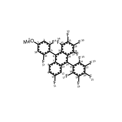 COc1cc(F)c(-c2c3ccc(F)cc3c(-c3c(F)c(F)c(F)c(F)c3F)c3c(F)c(F)c(F)c(F)c23)c(F)c1